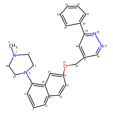 CN1CCN(c2cccc3ccc(OCc4cnnc(-c5ccccc5)c4)cc23)CC1